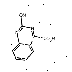 O=C(O)c1nc(O)nc2ccccc12